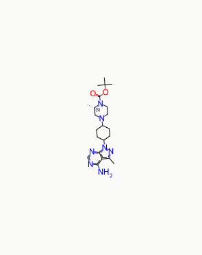 Cc1nn(C2CCC(N3CCN(C(=O)OC(C)(C)C)[C@@H](C)C3)CC2)c2ncnc(N)c12